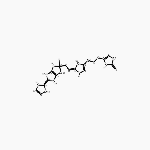 C=C1SC=C(SCSC2=CS/C(=C/CC3(C)SC4=C(SC(=C5SC=CS5)S4)S3)S2)S1